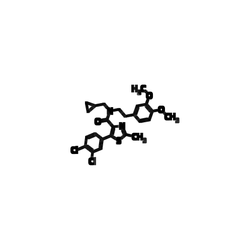 COc1ccc(CCN(CC2CC2)C(=O)c2nc(C)sc2-c2ccc(Cl)c(Cl)c2)cc1OC